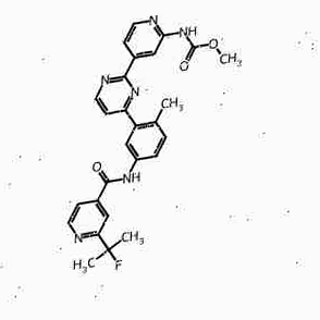 COC(=O)Nc1cc(-c2nccc(-c3cc(NC(=O)c4ccnc(C(C)(C)F)c4)ccc3C)n2)ccn1